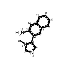 Cn1cncc1-c1cc2ccccc2cc1N